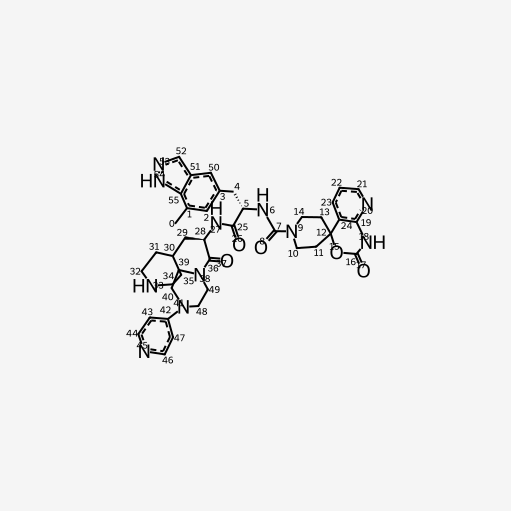 Cc1cc(C[C@H](NC(=O)N2CCC3(CC2)OC(=O)Nc2ncccc23)C(=O)N[C@H](CC2CCNCC2)C(=O)N2CCN(c3ccncc3)CC2)cc2cn[nH]c12